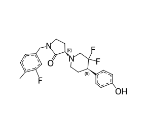 Cc1ccc(CN2CC[C@@H](N3CC[C@H](c4ccc(O)cc4)C(F)(F)C3)C2=O)cc1F